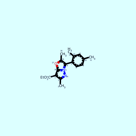 CCOC(=O)c1c(C)nn2c(-c3ccc(C)cc3C)c(C)oc12